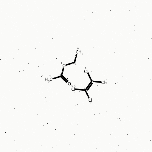 CCOC(C)=O.ClC(Cl)=C(Cl)Cl